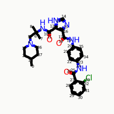 CC1CCN(CC(C)(C)NC(=O)c2[nH]cnc2C(=O)Nc2ccc(NC(=O)c3ccccc3Cl)cc2)CC1